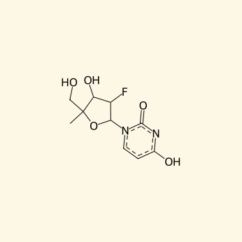 CC1(CO)OC(n2ccc(O)nc2=O)C(F)C1O